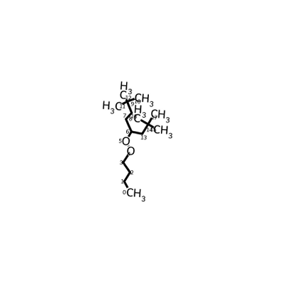 CCCCOOC(CCC(C)(C)C)CC(C)(C)C